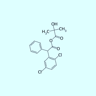 CC(C)(O)C(=O)OC(=O)C(c1ccccc1)c1cc(Cl)ccc1Cl